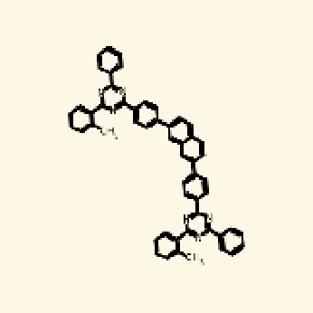 Cc1ccccc1-c1nc(-c2ccccc2)nc(-c2ccc(-c3ccc4ccc(-c5ccc(-c6nc(-c7ccccc7)nc(-c7ccccc7C)n6)cc5)cc4c3)cc2)n1